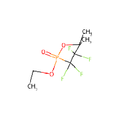 CCOP(=O)(OCC)C(F)(F)C(C)(F)F